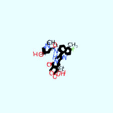 CC[C@@]1(O)C(=O)OCc2c1cc1n(c2=O)Cc2c-1nc1cc(F)c(C)c3c1c2[C@@H](NC(=O)[C@@H]1C[C@H](O)CN1C)CC3